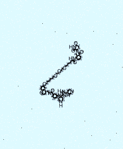 O=C1CCC(N2Cc3c(NC(=O)CCCCCOCCOCCOCCCCCCOc4ccc5c(c4)C(C=NC(=O)c4cccc(NC6(c7nnc(-c8ccncc8)[nH]7)CCNCC6)c4)CCO5)cccc3C2=O)C(=O)N1